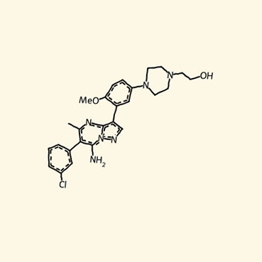 COc1ccc(N2CCN(CCO)CC2)cc1-c1cnn2c(N)c(-c3cccc(Cl)c3)c(C)nc12